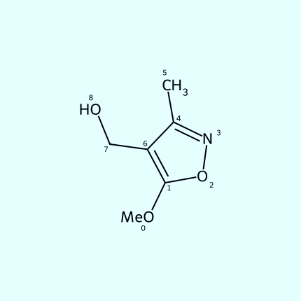 COc1onc(C)c1CO